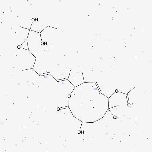 CCC(O)C(C)(O)C1OC1CC(C)/C=C/C=C(\C)C1OC(=O)CC(O)CCC(C)(O)C(OC(C)=O)/C=C/C1C